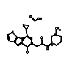 CN1CCC[C@@H](NC(=O)Cn2nc(C3CC3)n3c(cc4ccsc43)c2=O)C1.O=CO